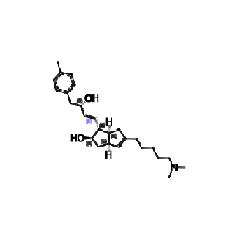 Cc1ccc(C[C@H](O)/C=C/[C@@H]2[C@H]3CC(CCCCCN(C)C)=C[C@H]3C[C@H]2O)cc1